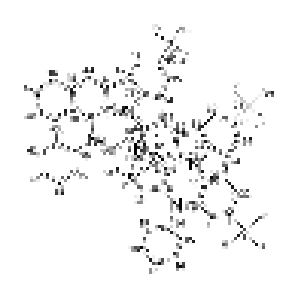 CC(C)(C)c1cc(N(c2ccccc2)c2ccccc2)c2c(c1)c1cc(C(C)(C)C)cc3c4c5c6cc(C(C)(C)C)cc7c8cc9ccccc9c(N(c9ccccc9)c9ccccc9)c8n(c5ncc4n2c13)c76